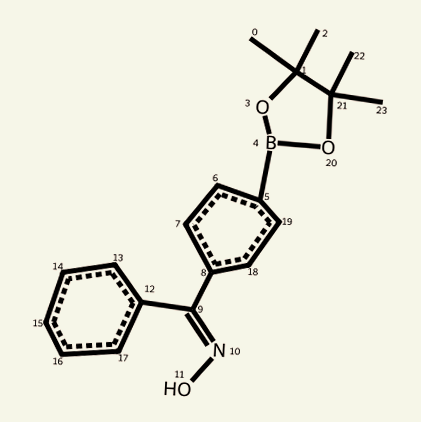 CC1(C)OB(c2ccc(C(=NO)c3ccccc3)cc2)OC1(C)C